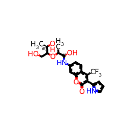 CC(OC(CO)[C@@H](C)O)[C@@H](O)Nc1ccc2c(C(F)(F)F)c(-c3ccc[nH]3)c(=O)oc2c1